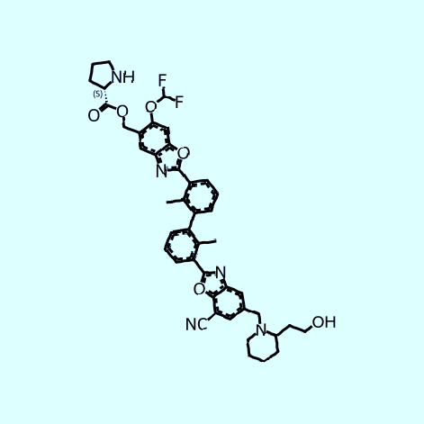 Cc1c(-c2nc3cc(COC(=O)[C@@H]4CCCN4)c(OC(F)F)cc3o2)cccc1-c1cccc(-c2nc3cc(CN4CCCCC4CCO)cc(C#N)c3o2)c1C